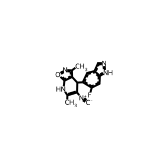 [C-]#[N+]C1=C(C)Nc2onc(C)c2C1c1cc2cn[nH]c2cc1F